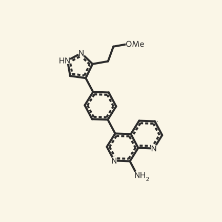 COCCc1n[nH]cc1-c1ccc(-c2cnc(N)c3nc[c]cc23)cc1